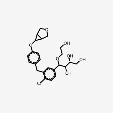 OCCOC(c1ccc(Cl)c(Cc2ccc(OC3C4COCC43)cc2)c1)[C@H](O)[C@@H](O)CO